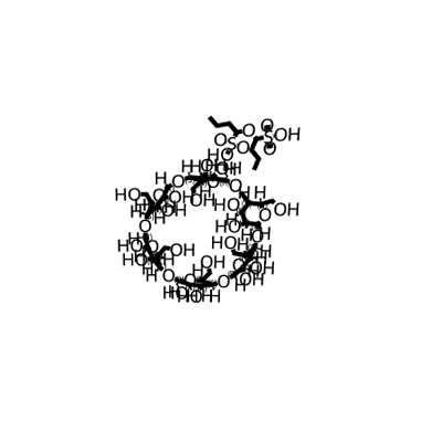 CCCC(OC(CCC)S(=O)(=O)O)S(=O)(=O)O.OC[C@H]1O[C@@H]2O[C@H]3[C@H](O)[C@@H](O)[C@@H](O[C@H]4[C@H](O)[C@@H](O)[C@@H](O[C@H]5[C@H](O)[C@@H](O)[C@@H](O[C@H]6[C@H](O)[C@@H](O)[C@@H](O[C@H]7[C@H](O)[C@@H](O)[C@@H](O[C@H]1[C@H](O)[C@H]2O)O[C@@H]7CO)O[C@@H]6CO)O[C@@H]5CO)O[C@@H]4CO)O[C@@H]3CO